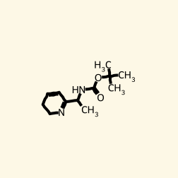 CC(NC(=O)OC(C)(C)C)C1=NCCC=C1